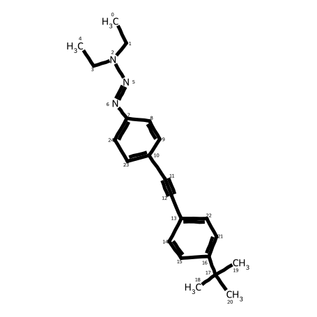 CCN(CC)N=Nc1ccc(C#Cc2ccc(C(C)(C)C)cc2)cc1